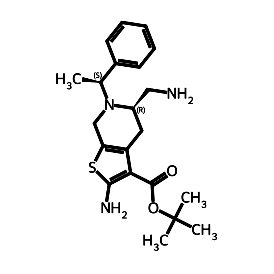 C[C@@H](c1ccccc1)N1Cc2sc(N)c(C(=O)OC(C)(C)C)c2C[C@@H]1CN